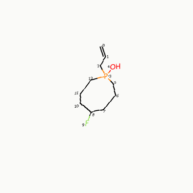 C=CC[P]1(O)CCCC(F)CCC1